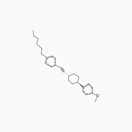 CCCCCCc1ccc(C#C[C@H]2CC[C@H](c3ccc(OC)cc3)CC2)cc1